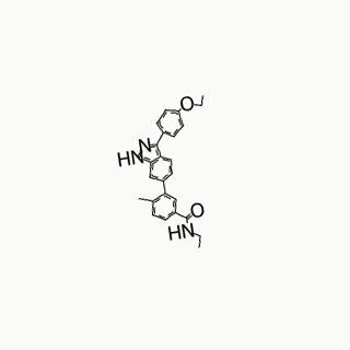 CCNC(=O)c1ccc(C)c(-c2ccc3c(-c4ccc(OCC)cc4)n[nH]c3c2)c1